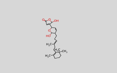 CC1=C(CC/C(C)=C/CCC2C=CC(C3=CC(=O)OC3O)OC2O)C(C)(C)CCC1